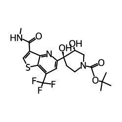 CNC(=O)c1csc2c(C(F)(F)F)cc([C@@]3(O)CCN(C(=O)OC(C)(C)C)C[C@@H]3O)nc12